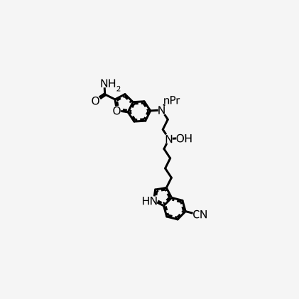 CCCN(CCN(O)CCCCc1c[nH]c2ccc(C#N)cc12)c1ccc2oc(C(N)=O)cc2c1